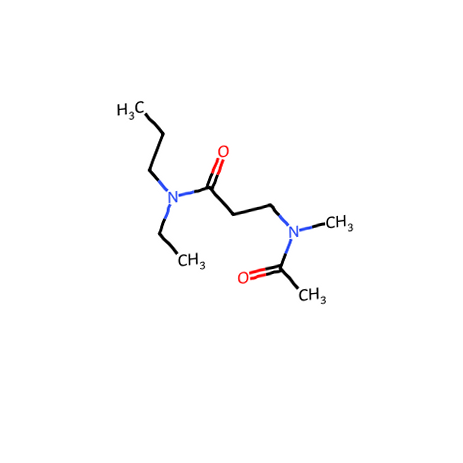 CCCN(CC)C(=O)CCN(C)C(C)=O